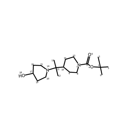 CC(C)(C)OC(=O)N1CCC(C(C)(C)N2CCC(O)CC2)CC1